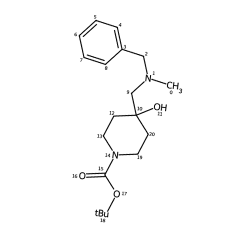 CN(Cc1ccccc1)CC1(O)CCN(C(=O)OC(C)(C)C)CC1